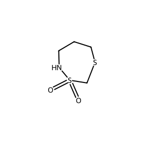 O=S1(=O)CSCCCN1